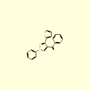 O=C(c1ccccc1)c1cn(-c2ccccc2)nc1-c1cccs1